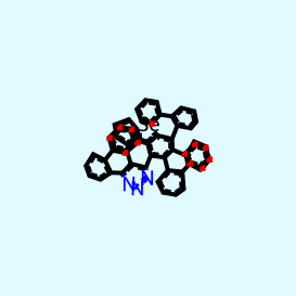 c1ccc(-c2ccccc2-c2nnnc(-c3c(-c4ccccc4-c4ccccc4)c(-c4ccccc4)c(-c4ccccc4-c4ccccc4)c4[se]c5ccccc5c34)c2-c2ccccc2)cc1